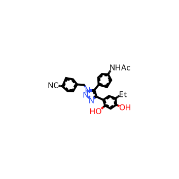 CCc1cc(-c2nnn(Cc3ccc(C#N)cc3)c2-c2ccc(NC(C)=O)cc2)c(O)cc1O